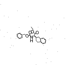 CCOC(=O)C(NC(=O)OCc1ccccc1)=C1CCc2ccccc2C1